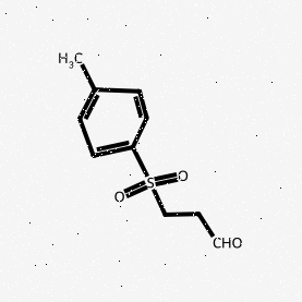 Cc1ccc(S(=O)(=O)CCC=O)cc1